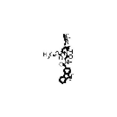 CCOC(=O)[C@@H]1C[C@]2(CN=[N+]=[N-])C[C@@H]2N1C(=O)CNC(=O)c1ccc2c(c1)-c1ccccc1C2(F)F